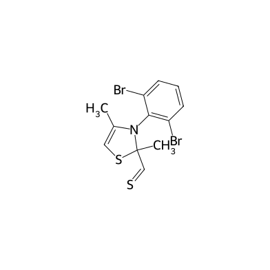 CC1=CSC(C)(C=S)N1c1c(Br)cccc1Br